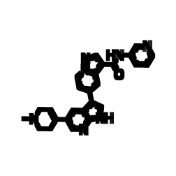 CN1CC=C(c2cnc3[nH]cc(-c4ccn5ncc(C(=O)Nc6cccnc6)c5c4)c3c2)CC1